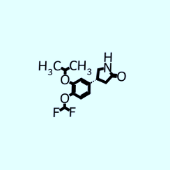 CC(C)Oc1cc([C@@H]2CNC(=O)C2)ccc1OC(F)F